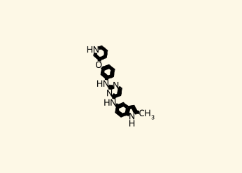 Cc1cc2cc(Nc3ccnc(Nc4cccc(OC5CCCNC5)c4)n3)ccc2[nH]1